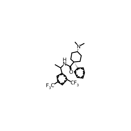 CC(NC(=O)[C@]1(c2ccccc2)CC[C@@H](N(C)C)CC1)c1cc(C(F)(F)F)cc(C(F)(F)F)c1